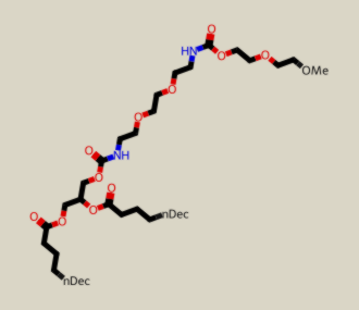 CCCCCCCCCCCCCC(=O)OCC(COC(=O)NCCOCCOCCNC(=O)OCCOCCOC)OC(=O)CCCCCCCCCCCCC